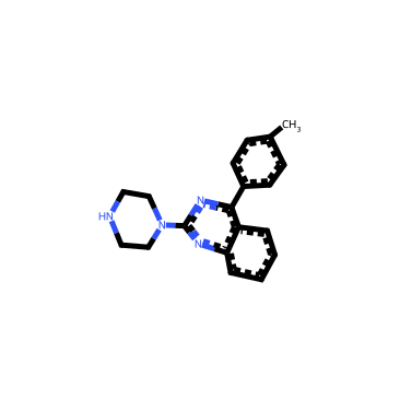 Cc1ccc(-c2nc(N3CCNCC3)nc3ccccc23)cc1